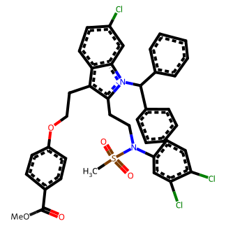 COC(=O)c1ccc(OCCc2c(CCN(c3ccc(Cl)c(Cl)c3)S(C)(=O)=O)n(C(c3ccccc3)c3ccccc3)c3cc(Cl)ccc23)cc1